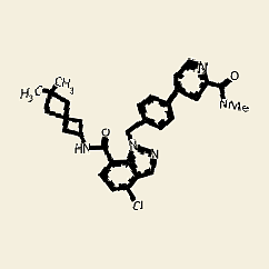 CNC(=O)c1cc(-c2ccc(Cn3ncc4c(Cl)ccc(C(=O)NC5CC6(C5)CC(C)(C)C6)c43)cc2)ccn1